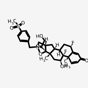 C[C@]12C=CC(=O)C=C1[C@@H](F)C[C@H]1[C@@H]3C[C@H]4CN(Cc5ccc(S(C)(=O)=O)cc5)O[C@@]4(C(=O)CO)[C@@]3(C)C[C@H](O)[C@@]12F